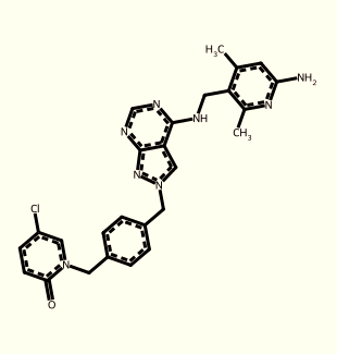 Cc1cc(N)nc(C)c1CNc1ncnc2nn(Cc3ccc(Cn4cc(Cl)ccc4=O)cc3)cc12